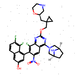 O=[N+]([O-])c1cc2c(N3C[C@H]4CC[C@@H](C3)N4)nc(OCC3(C[C@@H]4CNCCO4)CC3)nc2c(F)c1-c1cc(O)cc2ccc(F)c(F)c12